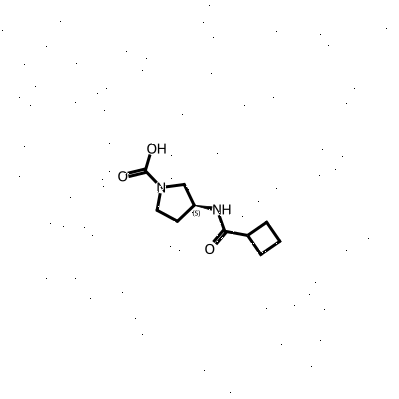 O=C(N[C@H]1CCN(C(=O)O)C1)C1CCC1